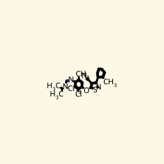 Cc1cc(Oc2snc(-c3ccccc3C)c2C#N)c(Cl)cc1/N=C\N(C)C(C)C